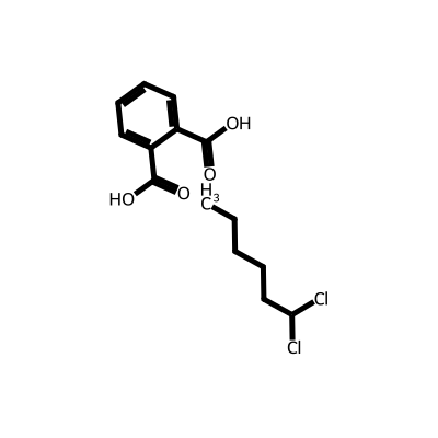 CCCCCC(Cl)Cl.O=C(O)c1ccccc1C(=O)O